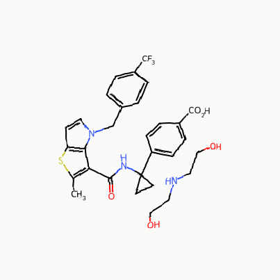 Cc1sc2ccn(Cc3ccc(C(F)(F)F)cc3)c2c1C(=O)NC1(c2ccc(C(=O)O)cc2)CC1.OCCNCCO